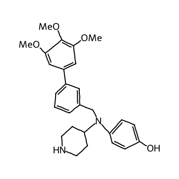 COc1cc(-c2cccc(CN(c3ccc(O)cc3)C3CCNCC3)c2)cc(OC)c1OC